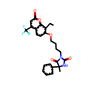 CCc1c(OCCCCN2C(=O)NC(C)(c3ccccc3)C2=O)ccc2c(C(F)(F)F)cc(=O)oc12